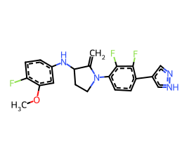 C=C1C(Nc2ccc(F)c(OC)c2)CCN1c1ccc(-c2cn[nH]c2)c(F)c1F